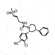 CS(=O)(=O)/C=C/CNC(=O)N1CC[C@@H](c2ccccc2)C[C@H]1c1ccc(C#N)c(Cl)c1